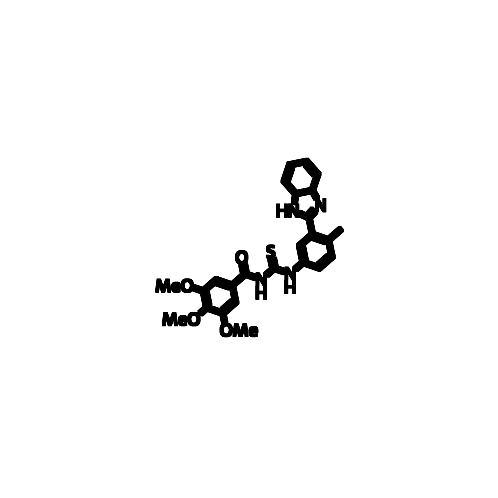 COc1cc(C(=O)NC(=S)Nc2ccc(C)c(C3=NC4C=CC=CC4N3)c2)cc(OC)c1OC